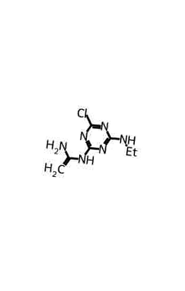 C=C(N)Nc1nc(Cl)nc(NCC)n1